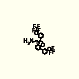 NCCN1c2cccc(-c3cccc(OC(F)(F)F)c3)c2OCC1c1cccc(OC(F)(F)C(F)F)c1